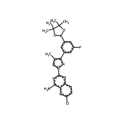 Cc1cn(-c2nc(N)c3nc(Cl)ccc3n2)nc1-c1cc(F)cc(B2OC(C)(C)C(C)(C)O2)c1